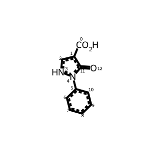 O=C(O)c1c[nH]n(-c2ccccc2)c1=O